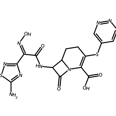 Nc1nc(/C(=N/O)C(=O)NC2C(=O)N3C(C(=O)O)=C(Sc4ccnnc4)CCC23)ns1